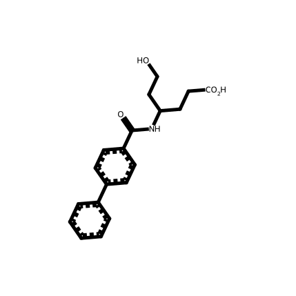 O=C(O)CCC(CCO)NC(=O)c1ccc(-c2ccccc2)cc1